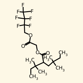 CCC(C)(C)CC(C(=O)OCC(=O)OCC(F)(F)C(F)(F)C(F)(F)F)C(C)(C)CC